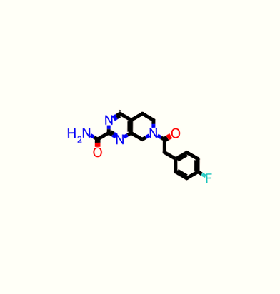 NC(=O)c1n[c]c2c(n1)CN(C(=O)Cc1ccc(F)cc1)CC2